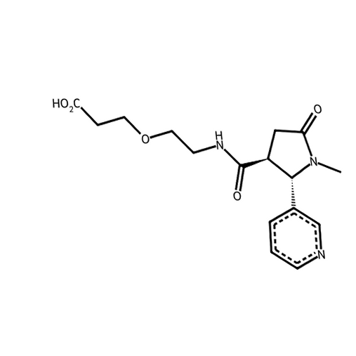 CN1C(=O)C[C@H](C(=O)NCCOCCC(=O)O)[C@H]1c1cccnc1